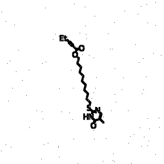 CCC#CC(=O)OCCCCCCCCCCCSc1ncc(C)c(=O)[nH]1